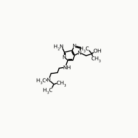 CC(C)N(C)CCCNc1cc2c(ncn2CC(C)(C)O)c(N)n1